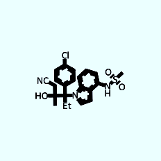 CCC(c1ccc(Cl)cc1)(n1ccc2c(NS(C)(=O)=O)cccc21)C(C)(O)CC#N